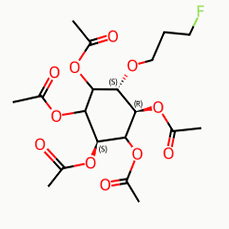 CC(=O)OC1C(OC(C)=O)[C@H](OCCCF)[C@@H](OC(C)=O)C(OC(C)=O)[C@H]1OC(C)=O